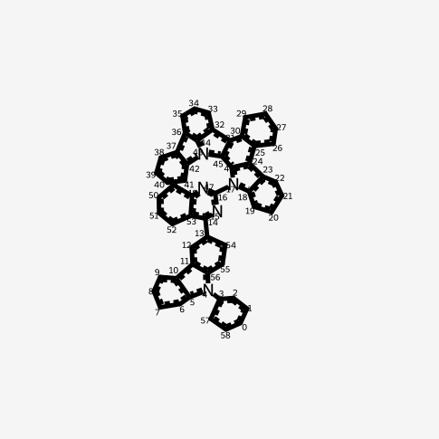 c1ccc(-n2c3ccccc3c3cc(-c4nc(-n5c6ccccc6c6c7ccccc7c7c8cccc9c%10ccccc%10n(c98)c7c65)nc5ccccc45)ccc32)cc1